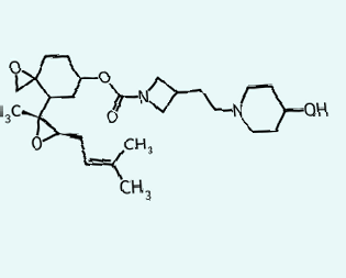 CC(C)=CC[C@H]1O[C@]1(C)C1CC(OC(=O)N2CC(CCN3CCC(O)CC3)C2)CCC12CO2